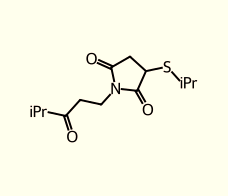 CC(C)SC1CC(=O)N(CCC(=O)C(C)C)C1=O